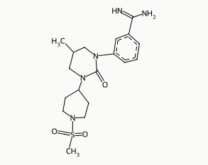 CC1CN(c2cccc(C(=N)N)c2)C(=O)N(C2CCN(S(C)(=O)=O)CC2)C1